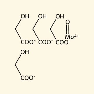 O=C([O-])CO.O=C([O-])CO.O=C([O-])CO.O=C([O-])CO.[O]=[Mo+4]